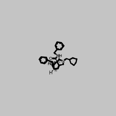 O=C(NCc1ccccc1)[C@]12NC[C@@H]3CC1CN(CC1CCCCC1)[C@H]2[C@@H]3Cc1ccccc1